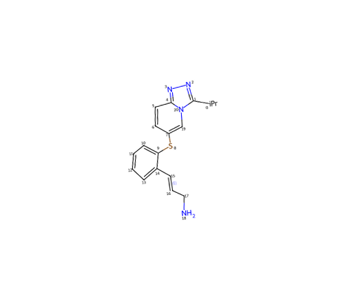 CC(C)c1nnc2ccc(Sc3ccccc3/C=C/CN)cn12